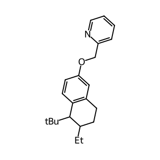 CCC1CCc2cc(OCc3ccccn3)ccc2C1C(C)(C)C